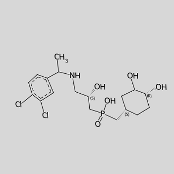 CC(NC[C@H](O)CP(=O)(O)C[C@H]1CC[C@@H](O)C(O)C1)c1ccc(Cl)c(Cl)c1